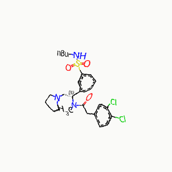 CCCCNS(=O)(=O)c1cccc([C@@H](CN2CCCC2)N(C)C(=O)Cc2ccc(Cl)c(Cl)c2)c1